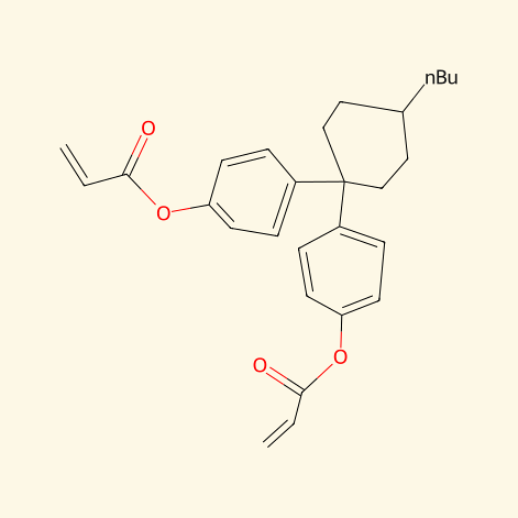 C=CC(=O)Oc1ccc(C2(c3ccc(OC(=O)C=C)cc3)CCC(CCCC)CC2)cc1